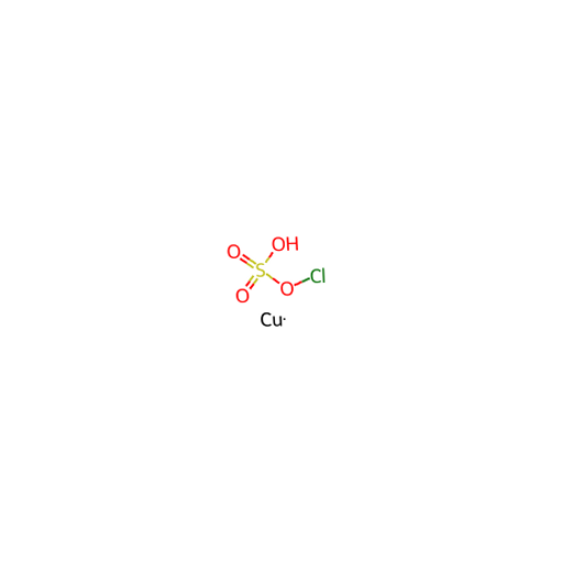 O=S(=O)(O)OCl.[Cu]